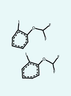 FC(F)Oc1ccccc1I.FC(F)Oc1ccccc1I